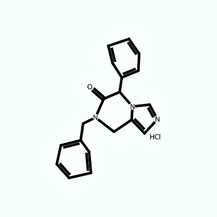 Cl.O=C1C(c2ccccc2)n2cncc2CN1Cc1ccccc1